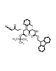 CC(C)(C)OC(=O)[C@H](CCC(=O)C=[N+]=[N-])NC(=O)[C@H](Cc1cccnc1)NC(=O)OCC1c2ccccc2-c2ccccc21